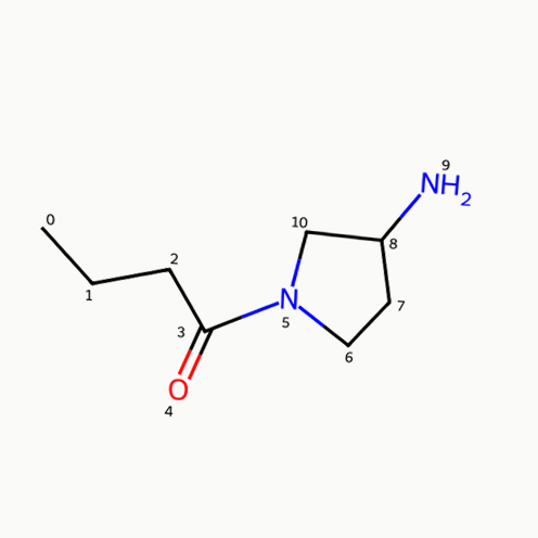 CCCC(=O)N1CCC(N)C1